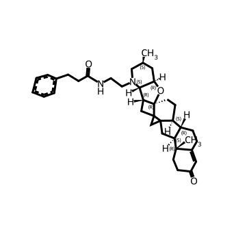 C[C@H]1C[C@H]2O[C@@]34CC[C@H]5[C@@H]6CCC7=CC(=O)CC[C@]7(C)[C@H]6CC56CC63C[C@@H]4[C@@H]2N(CCNC(=O)CCc2ccccc2)C1